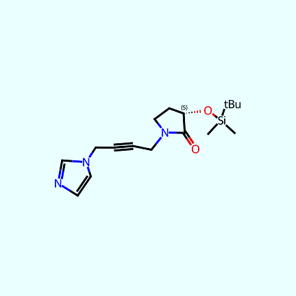 CC(C)(C)[Si](C)(C)O[C@H]1CCN(CC#CCn2ccnc2)C1=O